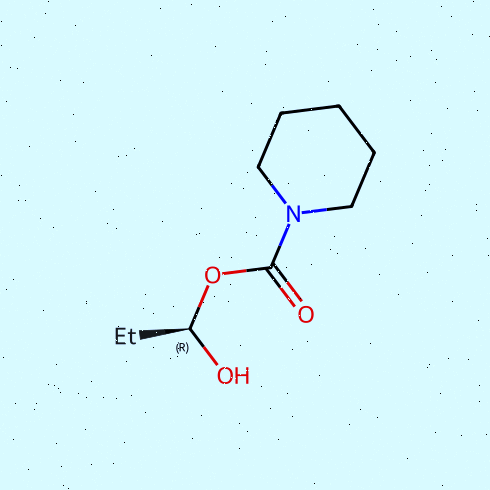 CC[C@H](O)OC(=O)N1CCCCC1